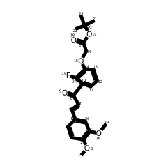 COc1ccc(C=CC(=O)c2cccc(OCC(=O)OC(C)(C)C)c2F)cc1OC